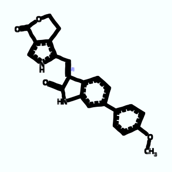 COc1ccc(-c2ccc3c(c2)NC(=O)/C3=C\c2[nH]cc3c2CCOC3=O)cc1